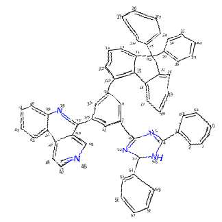 c1ccc(C2=NC(c3cc(-c4cccc5c4-c4ccccc4C5(c4ccccc4)c4ccccc4)cc(-c4nc5ccccc5c5ccncc45)c3)=NC(c3ccccc3)N2)cc1